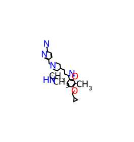 CNC.Cc1c(OCC2CC2)ccc2c(CCC3CCN(Cc4ccc(C#N)nc4)CC3)noc12